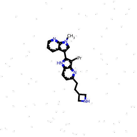 CC(C)c1c(-c2cn(C)c3ncccc23)[nH]c2ccc(CCC3CNC3)nc12